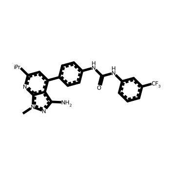 CC(C)c1cc(-c2ccc(NC(=O)Nc3cccc(C(F)(F)F)c3)cc2)c2c(N)nn(C)c2n1